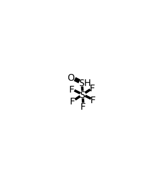 O=[SH]S(F)(F)(F)(F)F